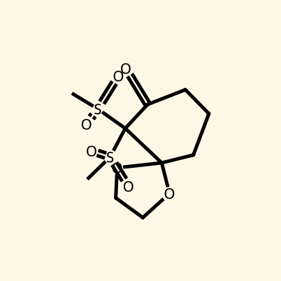 CS(=O)(=O)C1(S(C)(=O)=O)C(=O)CCCC12OCCO2